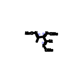 CCC(=N\OC)/C(=N\OC)C(/C)=N/OC